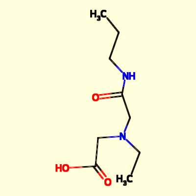 CCCNC(=O)CN(CC)CC(=O)O